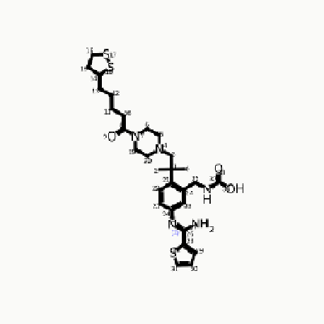 CC(C)(CN1CCN(C(=O)CCCCC2CCSS2)CC1)c1ccc(/N=C(\N)c2cccs2)cc1CNC(=O)O